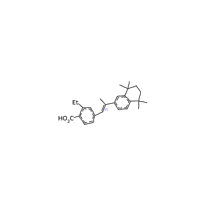 CCc1cc(/C=C(\C)c2ccc3c(c2)C(C)(C)CCC3(C)C)ccc1C(=O)O